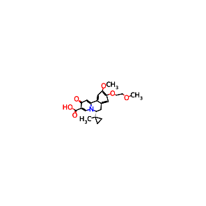 COCCOc1cc2c(cc1OC)-c1cc(=O)c(C(=O)O)cn1[C@@H](C1(C)CC1)C2